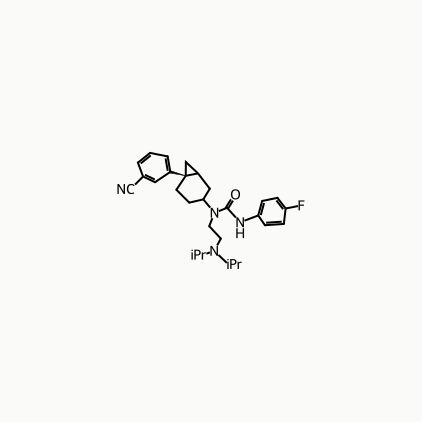 CC(C)N(CCN(C(=O)Nc1ccc(F)cc1)C1CC[C@]2(c3cccc(C#N)c3)CC2C1)C(C)C